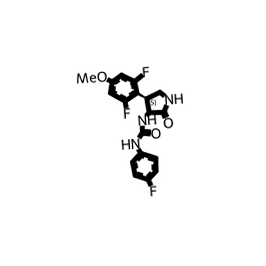 COc1cc(F)c([C@H]2CNC(=O)C2NC(=O)Nc2ccc(F)cc2)c(F)c1